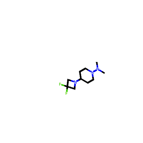 CN(C)N1CCC(N2CC(F)(F)C2)CC1